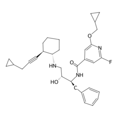 O=C(N[C@@H](Cc1ccccc1)[C@H](O)CN[C@H]1CCCC[C@@H]1C#CCC1CC1)c1cc(F)nc(OCC2CC2)c1